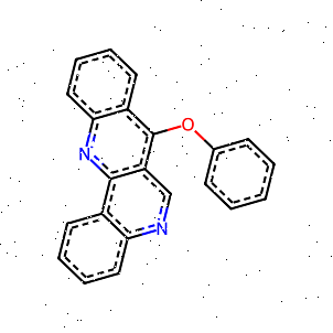 c1ccc(Oc2c3ccccc3nc3c2cnc2ccccc23)cc1